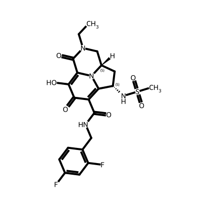 CCN1C[C@@H]2C[C@H](NS(C)(=O)=O)c3c(C(=O)NCc4ccc(F)cc4F)c(=O)c(O)c(n32)C1=O